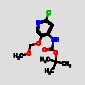 COCOc1cnc(Cl)cc1NC(=O)OC(C)(C)C